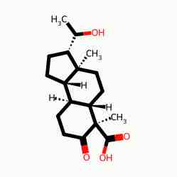 CC(O)[C@H]1CC[C@H]2[C@@H]3CCC(=O)[C@](C)(C(=O)O)[C@H]3CC[C@]12C